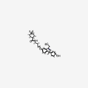 CCC(C)C/C=C/C(C)(c1ccc(O)cc1)c1ccc(OCCCCNC(=O)C2CCC(F)(F)CC2)cc1